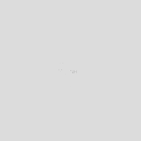 C#CCC(NC(=O)c1ccco1)C(C)=O